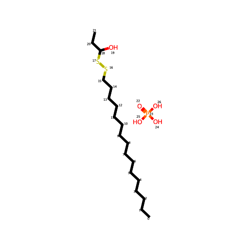 CCCCCCCCCCCCCCCCSSC(O)CC.O=P(O)(O)O